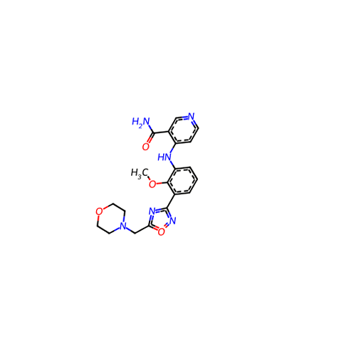 COc1c(Nc2ccncc2C(N)=O)cccc1-c1noc(CN2CCOCC2)n1